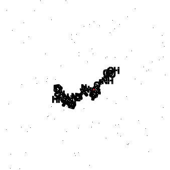 Cc1c(Nc2nc3ccccc3s2)nnc2c1CCCN2c1ccc(-c2cnn(CC34CC5(C)CC(C)(C3)CC(OCCNCCS(=O)(=O)O)(C5)C4)c2C)cn1